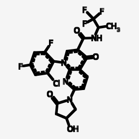 CC(NC(=O)c1cn(-c2c(F)cc(F)cc2Cl)c2nc(N3CC(O)CC3=O)ccc2c1=O)C(F)(F)F